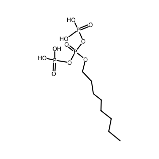 CCCCCCCCOP(=O)(OP(=O)(O)O)OP(=O)(O)O